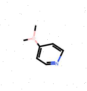 CB(C)c1ccncc1